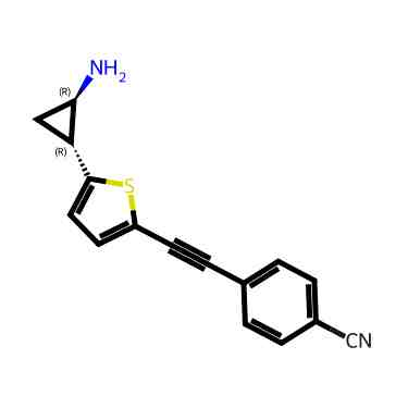 N#Cc1ccc(C#Cc2ccc([C@@H]3C[C@H]3N)s2)cc1